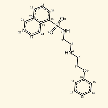 O=S(=O)(NCCNCCOc1ccccc1)c1cccc2cnccc12